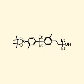 CCC(O)(CC)CCc1ccc(C(CC)(CC)c2ccc(B3OC(C)(C)C(C)(C)O3)c(C)c2)cc1C